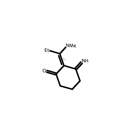 CC/C(NC)=C1/C(=N)CCCC1=O